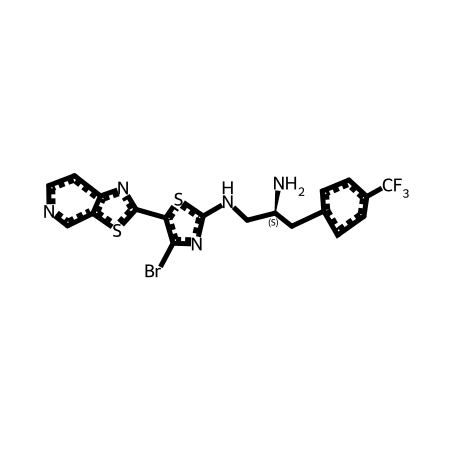 N[C@H](CNc1nc(Br)c(-c2nc3ccncc3s2)s1)Cc1ccc(C(F)(F)F)cc1